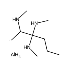 [AlH3].[CH2]C(NC)C(CCC)(NC)NC